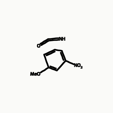 COc1cccc([N+](=O)[O-])c1.N=C=O